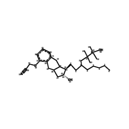 CCCCCC(CC[C@@H]1C2Cc3cccc(OCC#N)c3CC2C[C@H]1O)CC(C)(C)[Si](C)(C)O